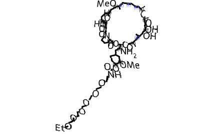 CCOCCOCCOCCOCCOCCOCCNC(=O)O[C@@H]1CCC(C[C@@H](N)[C@@H]2CC(=O)[C@H](C)/C=C(\C)C(O)[C@@H](O)C(=O)[C@H](C)C[C@H](C)/C=C/C=C/C=C(\C)[C@@H](OC)C[C@@H]3CC[C@@H](C)[C@@](O)(O3)C(=O)C(=O)N3CCCC[C@H]3C(=O)O2)C[C@H]1OC